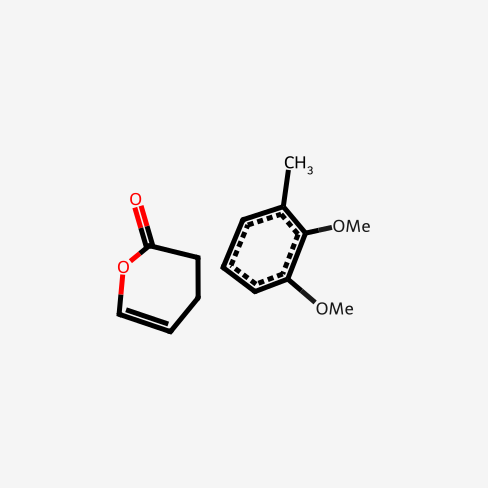 COc1cccc(C)c1OC.O=C1CCC=CO1